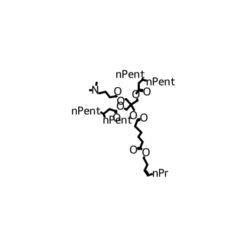 CCC/C=C\CCOC(=O)CCCCC(=O)OCC(COC(=O)CCCN(C)C)(COC(=O)CC(CCCCC)CCCCC)COC(=O)CC(CCCCC)CCCCC